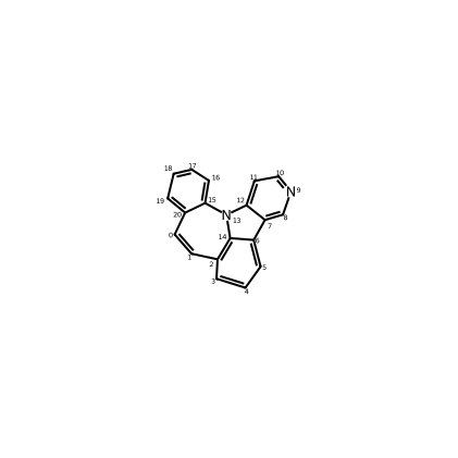 C1=Cc2cccc3c4cnccc4n(c23)-c2ccccc21